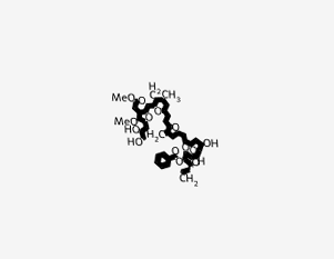 C=CC[C@@H]1O[C@@H]2CC(OC3(CCC4CC(=C)C(CCC5CC(C)C(=C)C(CC6OC(CC(O)CO)[C@H](OC)C6CC(=O)OC)O5)O4)C[C@@H](O)C2O3)C1OC(=O)c1ccccc1